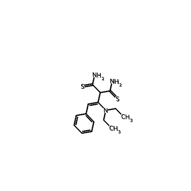 CCN(CC)C(=Cc1ccccc1)C(C(N)=S)C(N)=S